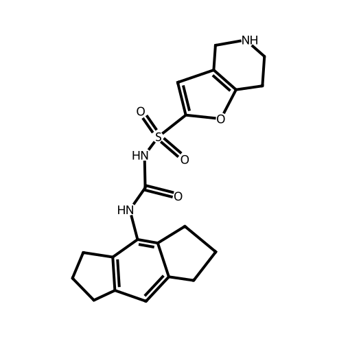 O=C(Nc1c2c(cc3c1CCC3)CCC2)NS(=O)(=O)c1cc2c(o1)CCNC2